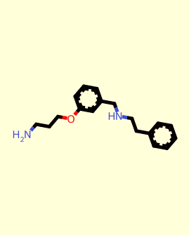 NCCCOc1cccc(CNCCc2ccccc2)c1